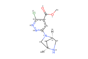 COC(=O)c1cc(N2C[C@H]3C[C@@H]2CN3)nnc1Cl